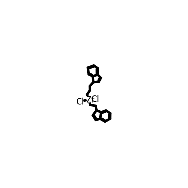 [Cl][Zr]([Cl])([CH2]CCC1C=Cc2ccccc21)[CH2]CC1C=Cc2ccccc21